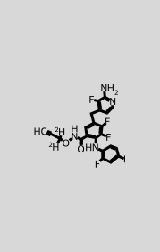 [2H]C([2H])(C#C)ONC(=O)c1cc(Cc2ccnc(N)c2F)c(F)c(F)c1Nc1ccc(I)cc1F